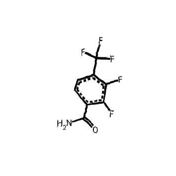 NC(=O)c1ccc(C(F)(F)F)c(F)c1F